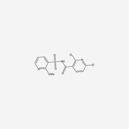 COc1ncccc1S(=O)(=O)NC(=O)c1ccc(Cl)nc1Cl